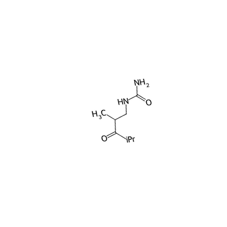 CC(C)C(=O)C(C)CNC(N)=O